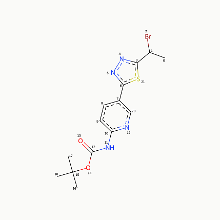 CC(Br)c1nnc(-c2ccc(NC(=O)OC(C)(C)C)nc2)s1